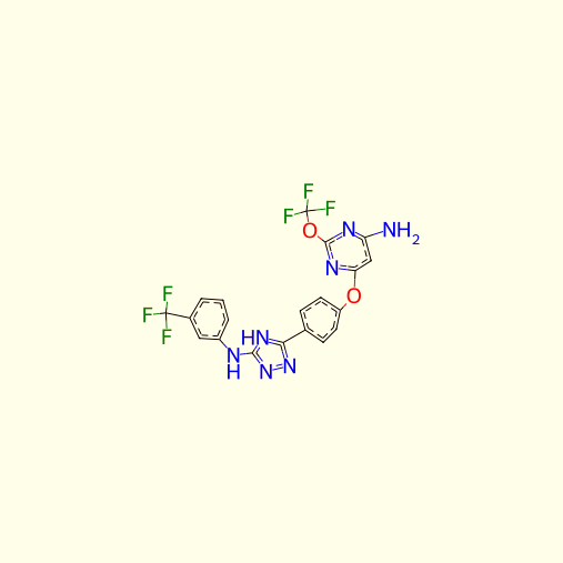 Nc1cc(Oc2ccc(-c3nnc(Nc4cccc(C(F)(F)F)c4)[nH]3)cc2)nc(OC(F)(F)F)n1